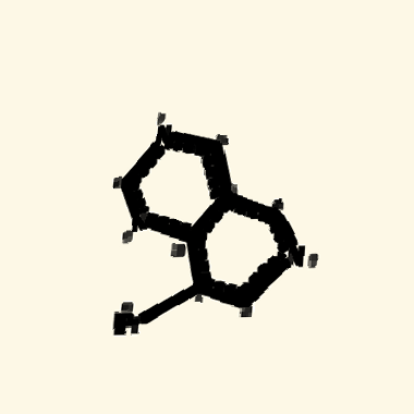 CC(C)c1cncc2cncnc12